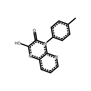 Cc1ccc(-n2c(=O)c(O)nc3cccnc32)cc1